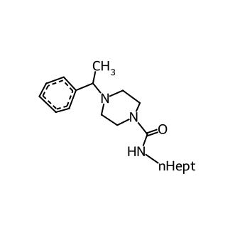 CCCCCCCNC(=O)N1CCN(C(C)c2ccccc2)CC1